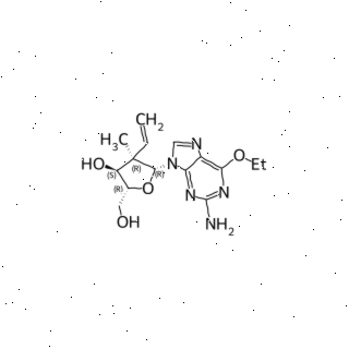 C=C[C@]1(C)[C@H](O)[C@@H](CO)O[C@H]1n1cnc2c(OCC)nc(N)nc21